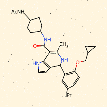 CC(=O)NC1CCC(NC(=O)C2=C(C)NC(c3cc(C(C)C)ccc3OCC3CC3)c3cc[nH]c32)CC1